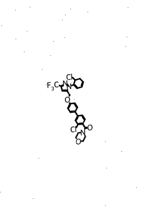 O=C(c1ccc(-c2ccc(OCc3cc(C(F)(F)F)nn3C3=CC=CCC3Cl)cc2)cc1Cl)N1CCOCC1